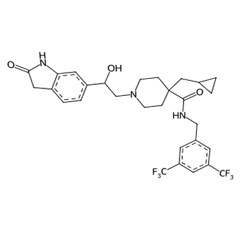 O=C1Cc2ccc(C(O)CN3CCC(CC4CC4)(C(=O)NCc4cc(C(F)(F)F)cc(C(F)(F)F)c4)CC3)cc2N1